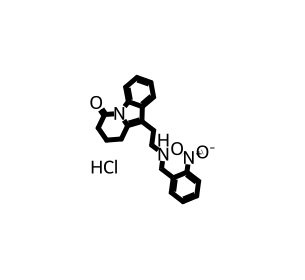 Cl.O=C1CCCc2c(CCNCc3ccccc3[N+](=O)[O-])c3ccccc3n21